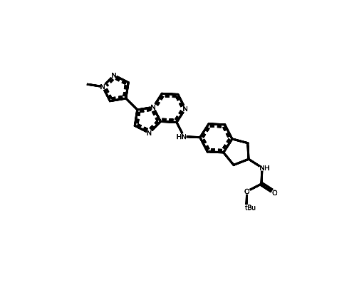 Cn1cc(-c2cnc3c(Nc4ccc5c(c4)CC(NC(=O)OC(C)(C)C)C5)nccn23)cn1